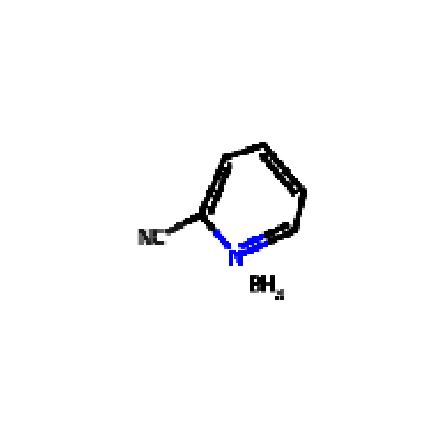 B.N#Cc1ccccn1